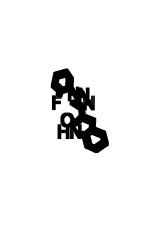 O=c1[nH]c2ccccc2cc1-c1cn(-c2ccccc2F)nn1